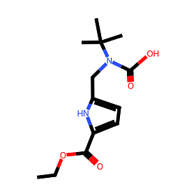 CCOC(=O)c1ccc(CN(C(=O)O)C(C)(C)C)[nH]1